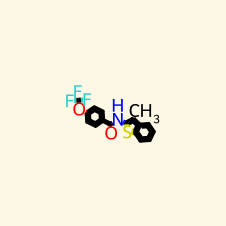 Cc1c(NC(=O)c2ccc(OC(F)(F)F)cc2)sc2ccccc12